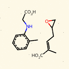 CC(=CCC1CO1)C(=O)O.Cc1ccccc1NCC(=O)O